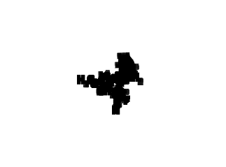 COc1ccc(-c2sc(C(=O)N3C4CCC3CC(N)C4)cc2-c2ccc(C#N)c(F)c2)cc1O